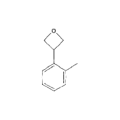 Cc1ccccc1C1COC1